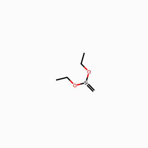 C=[Si](OCC)OCC